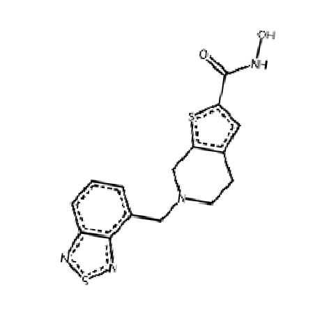 O=C(NO)c1cc2c(s1)CN(Cc1cccc3nsnc13)CC2